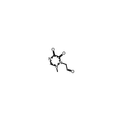 Cn1[c]nc(=O)c(=O)n1CC=O